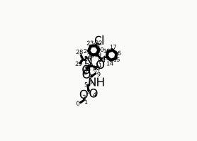 CCOC(=O)CNC(=O)C[C@H]1O[C@H](c2ccccc2)c2cc(Cl)ccc2N(C(C)C)C1=O